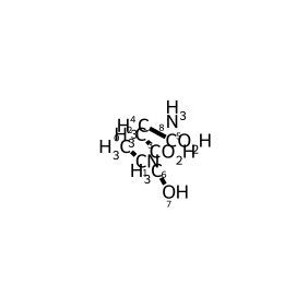 CC#N.CC(=O)O.CC(=O)O.CO.N